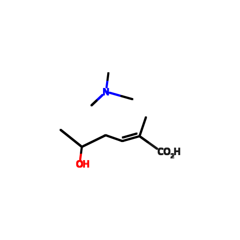 CC(=CCC(C)O)C(=O)O.CN(C)C